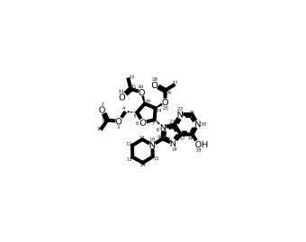 CC(=O)OC[C@H]1O[C@@H](n2c(N3CCCCC3)nc3c(O)ncnc32)[C@H](OC(C)=O)[C@@H]1OC(C)=O